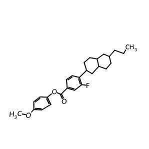 CCCC1CCC2CC(c3ccc(C(=O)Oc4ccc(OC)cc4)cc3F)CCC2C1